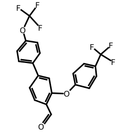 O=Cc1ccc(-c2ccc(OC(F)(F)F)cc2)cc1Oc1ccc(C(F)(F)F)cc1